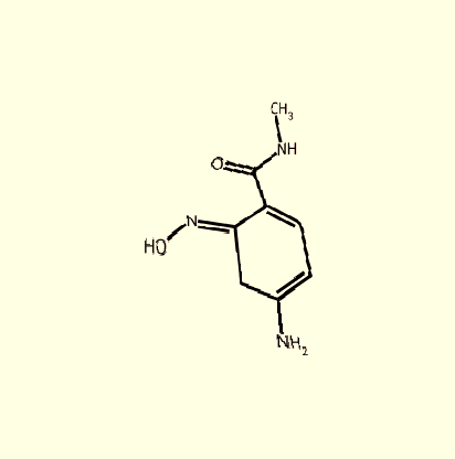 CNC(=O)C1=CC=C(N)CC1=NO